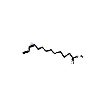 C=C/C=C\CCCCCCCCC(=O)CCC